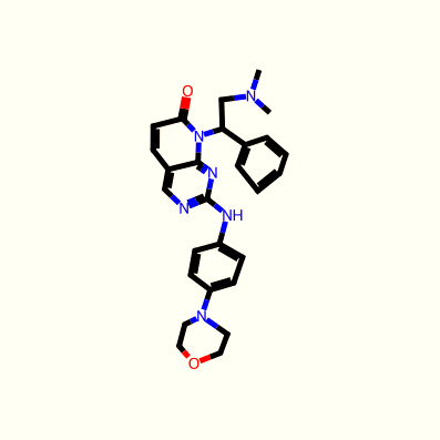 CN(C)CC(c1ccccc1)n1c(=O)ccc2cnc(Nc3ccc(N4CCOCC4)cc3)nc21